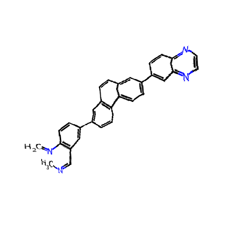 C=Nc1ccc(-c2ccc3c(ccc4cc(-c5ccc6nccnc6c5)ccc43)c2)cc1/C=N\C